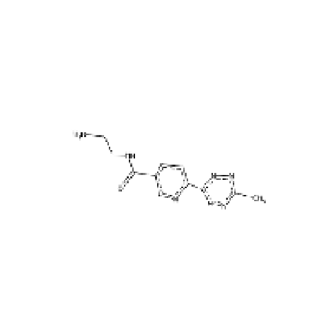 Cc1nnc(-c2ccc(C(=O)NCCN)cn2)nn1